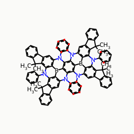 CC1(C)c2ccccc2-c2cc3c4c(c21)N(c1ccccc1)c1c2c(cc5c1C(C)(C)c1ccccc1-5)N(c1ccccc1)c1c(c(c5c6c1N(c1ccccc1)c1cc7c(c8c1B6c1c(cc6c(c1N8c1ccccc1)C(C)(C)c1ccccc1-6)N5c1ccccc1)C(C)(C)c1ccccc1-7)N3c1ccccc1)B42